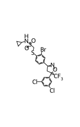 O=S(=O)(CSc1ccc(C2=NO[C@@](c3cc(Cl)cc(Cl)c3)(C(F)(F)F)C2)cc1Br)NC1CC1